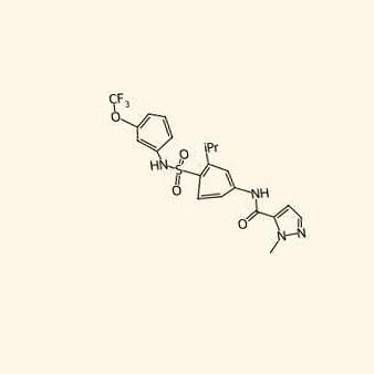 CC(C)c1cc(NC(=O)c2ccnn2C)ccc1S(=O)(=O)Nc1cccc(OC(F)(F)F)c1